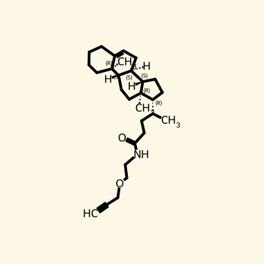 C#CCOCCNC(=O)CCC(C)[C@H]1CC[C@H]2[C@@H]3CC=C4CCCC[C@]4(C)[C@H]3CC[C@]12C